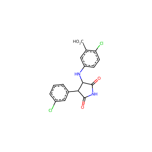 O=C(O)c1cc(NC2C(=O)NC(=O)C2c2cccc(Cl)c2)ccc1Cl